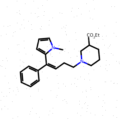 CCOC(=O)C1CCCN(CCC=C(c2ccccc2)c2cccn2C)C1